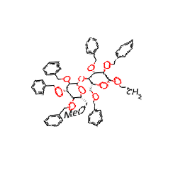 C=CCOC1O[C@H](COCc2ccccc2)[C@@H](O[C@@H]2O[C@H](COC)[C@@H](OCc3ccccc3)[C@H](OCc3ccccc3)[C@H]2OCc2ccccc2)[C@H](OCc2ccccc2)[C@H]1OCc1ccccc1